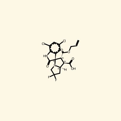 C=CCOC(=O)[C@@H]1[C@@H](C(=O)O)[C@H]2CC(F)(F)CN2[C@]12C(=O)Nc1c(Cl)cc(Cl)cc12